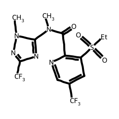 CCS(=O)(=O)c1cc(C(F)(F)F)cnc1C(=O)N(C)c1nc(C(F)(F)F)nn1C